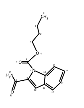 CCCCOC(=O)n1c(C(N)=O)cc2ccccc21